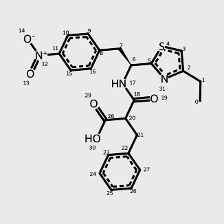 CCc1csc([C@H](Cc2ccc([N+](=O)[O-])cc2)NC(=O)C(Cc2ccccc2)C(=O)O)n1